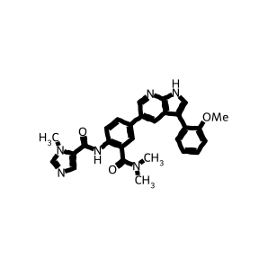 COc1ccccc1-c1c[nH]c2ncc(-c3ccc(NC(=O)c4cncn4C)c(C(=O)N(C)C)c3)cc12